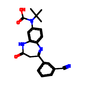 CC(C)(C)N(C(=O)O)c1ccc2c(c1)NC(=O)CC(c1cccc(C#N)c1)=N2